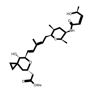 COC(=O)C[C@@H]1CC2(CC2)[C@H](O)[C@@H](/C=C/C(C)=C/C[C@@H]2O[C@H](C)[C@H](NC(=O)/C=C\[C@H](C)O)C[C@@H]2C)O1